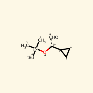 CC(C)(C)[Si](C)(C)O[C@H](C=O)C1CC1